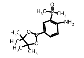 CC1(C)OB(c2ccc(N)c(P(C)(C)=O)c2)OC1(C)C